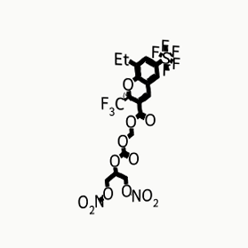 CCc1cc(S(F)(F)(F)(F)F)cc2c1O[C@H](C(F)(F)F)C(C(=O)OCOC(=O)OC(CO[N+](=O)[O-])CO[N+](=O)[O-])=C2